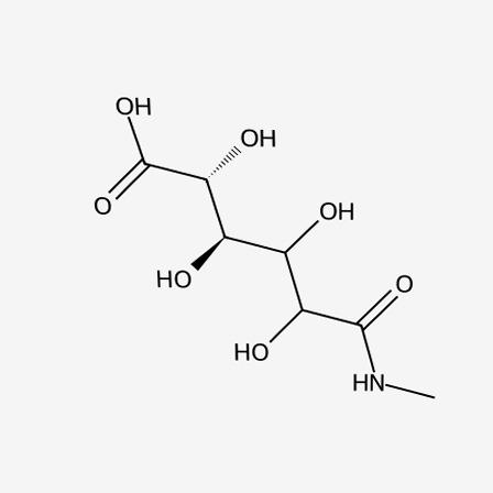 CNC(=O)C(O)C(O)[C@@H](O)[C@@H](O)C(=O)O